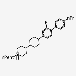 CCCCC[SiH]1CCC(C2CCC(c3ccc(-c4ccc(CCC)cc4)c(F)c3)CC2)CC1